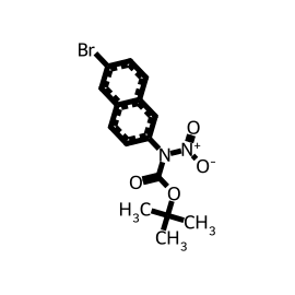 CC(C)(C)OC(=O)N(c1ccc2cc(Br)ccc2c1)[N+](=O)[O-]